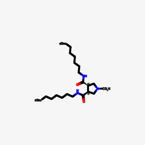 CCCCCCCCCCCCCCCCNC(=O)[C@@H]1CN(C(=O)O)C[C@H]1C(=O)NCCCCCCCCCCCCCCCC